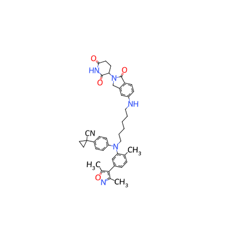 Cc1ccc(-c2c(C)noc2C)cc1N(CCCCCCNc1ccc2c(c1)CN(C1CCC(=O)NC1=O)C2=O)c1ccc(C2(C#N)CC2)cc1